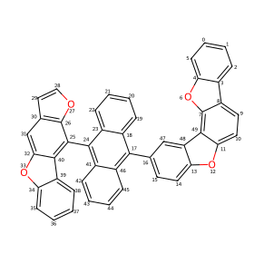 c1ccc2c(c1)oc1c2ccc2oc3ccc(-c4c5ccccc5c(-c5c6occc6cc6oc7ccccc7c56)c5ccccc45)cc3c21